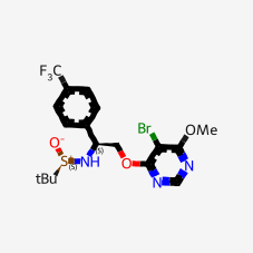 COc1ncnc(OC[C@@H](N[S@+]([O-])C(C)(C)C)c2ccc(C(F)(F)F)cc2)c1Br